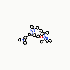 c1ccc(-c2nc(-n3c4ccccc4c4c5ccc(-c6cccc(-c7nc(-n8c9ccccc9c9cc(-c%10ccc%11c(c%10)c%10ccccc%10n%11-c%10ccccc%10)ccc98)nc8ccccc78)c6)cc5c5c6ccccc6oc5c43)nc3c2ccc2ccccc23)cc1